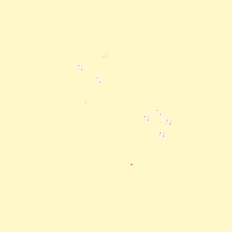 CCCC1=NC(=C(C)c2ccccc2)C(=O)N1Cc1ccc(-c2ccccc2-c2nnnn2C(c2ccccc2)(c2ccccc2)c2ccccc2)cc1